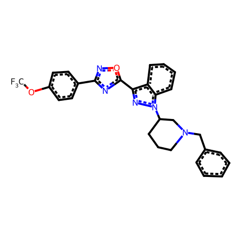 FC(F)(F)Oc1ccc(-c2noc(-c3nn(C4CCCN(Cc5ccccc5)C4)c4ccccc34)n2)cc1